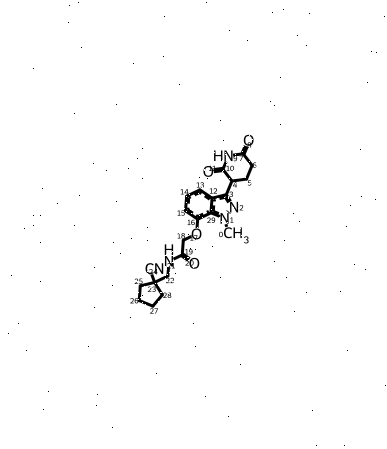 Cn1nc(C2CCC(=O)NC2=O)c2cccc(OCC(=O)NCC3(C#N)CCCC3)c21